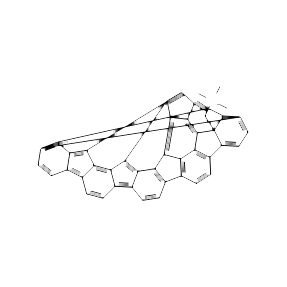 C[Si](C)(C)CC12C3=CC=C4c5ccc6c7ccc8c9ccc%10c%11ccc3c3c1c1c%12c(c5c6c5c7c8c6c9c%10c(c3%11)c1c6c%125)C42